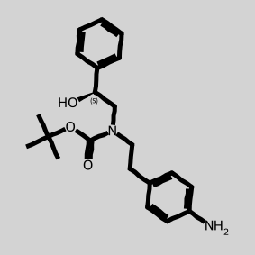 CC(C)(C)OC(=O)N(CCc1ccc(N)cc1)C[C@@H](O)c1ccccc1